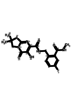 CNC(=O)c1cc(F)ccc1CNC(=O)c1nc2n(c(=O)c1O)CC(C)(C)S2